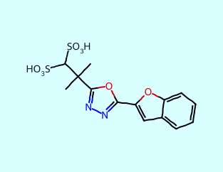 CC(C)(c1nnc(-c2cc3ccccc3o2)o1)C(S(=O)(=O)O)S(=O)(=O)O